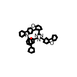 c1ccc(-c2cccc(-c3nc(-c4ccc5oc6ccccc6c5c4)nc(-c4cccc5oc6cc7c8ccccc8n(-c8ccccc8)c7cc6c45)n3)c2)cc1